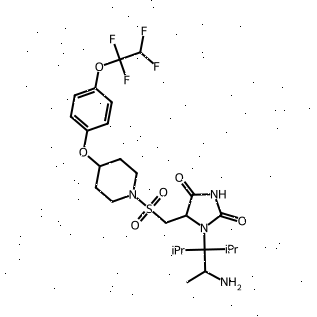 CC(C)C(C(C)C)(C(C)N)N1C(=O)NC(=O)C1CS(=O)(=O)N1CCC(Oc2ccc(OC(F)(F)C(F)F)cc2)CC1